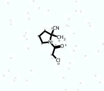 CC1(C#N)CCCN1C(=O)CCl